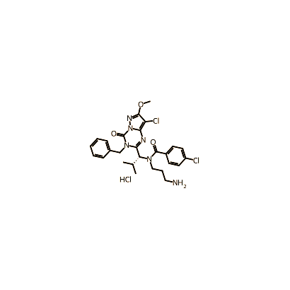 COc1nn2c(=O)n(Cc3ccccc3)c([C@@H](C(C)C)N(CCCN)C(=O)c3ccc(Cl)cc3)nc2c1Cl.Cl